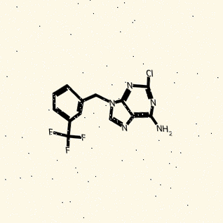 Nc1nc(Cl)nc2c1ncn2Cc1cccc(C(F)(F)F)c1